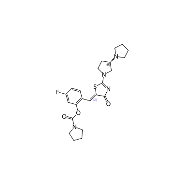 O=C1N=C(N2CC[C@@H](N3CCCC3)C2)S/C1=C\c1ccc(F)cc1OC(=O)N1CCCC1